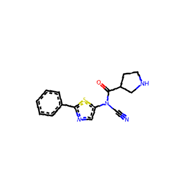 N#CN(C(=O)C1CCNC1)c1cnc(-c2ccccc2)s1